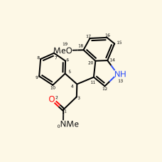 CNC(=O)CC(c1ccccc1)c1c[nH]c2cccc(OC)c12